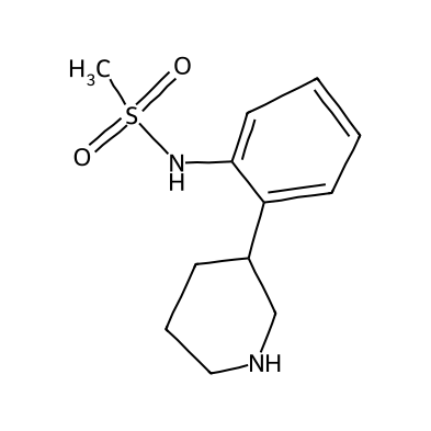 CS(=O)(=O)Nc1ccccc1C1CCCNC1